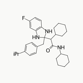 CC(C)c1ccc(CC2(C(C(=O)NC3CCCCC3)C3CCCCC3)Nc3ccc(F)cc3N2)cc1